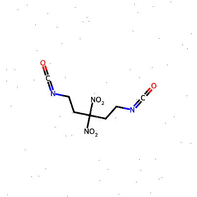 O=C=NCCC(CCN=C=O)([N+](=O)[O-])[N+](=O)[O-]